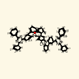 N#Cc1cc(-n2c3ccccc3c3cc(-c4nc(-c5ccccc5)nc(-c5ccccc5)n4)ccc32)c(-c2c(F)cccc2F)cc1-n1c2ccccc2c2cc(-c3nc(-c4ccccc4)nc(-c4ccccc4)n3)ccc21